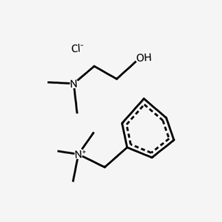 CN(C)CCO.C[N+](C)(C)Cc1ccccc1.[Cl-]